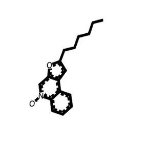 CCCCCCc1cc2c(c[n+]([O-])c3ccccc23)o1